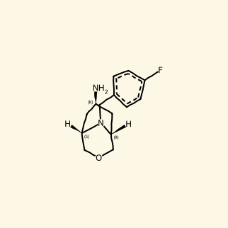 N[C@@H]1C[C@H]2COC[C@@H](C1)N2Cc1ccc(F)cc1